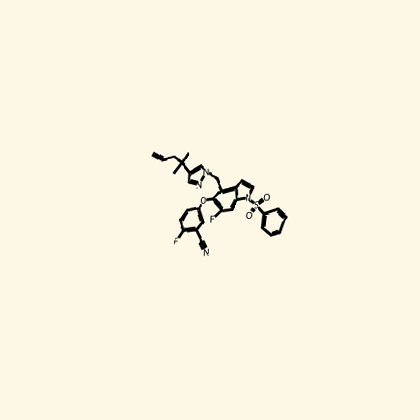 C=CCC(C)(C)c1cnn(Cc2c(Oc3ccc(F)c(C#N)c3)c(F)cc3c2ccn3S(=O)(=O)c2ccccc2)c1